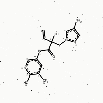 C=CC(O)(Cn1cc(N)cn1)C(=O)Nc1cnc(C#N)c(C(F)(F)F)c1